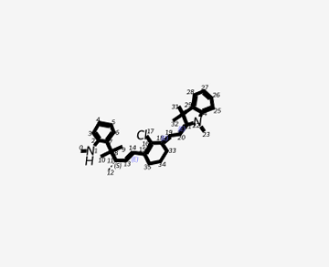 CNc1ccccc1C(C)(C)[C@@H](C)/C=C/C1=C(Cl)C(=C/C=C2/N(C)c3ccccc3C2(C)C)/CCC1